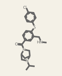 CNCc1cc(C(=O)N2CC3CC2CN3C(C)C)ccc1Sc1ccc(Cl)cc1